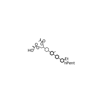 C=C(C)C(=O)OCC(CCOC(=O)C(=C)CO)C1CCC(c2ccc(-c3ccc(-c4ccc(CCCCC)c(CC)c4)cc3)c(C)c2)CC1